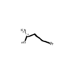 CC(C)C[CH][C@@H](N)O